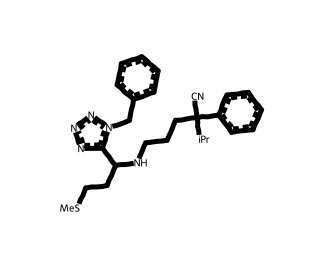 CSCCC(NCCCC(C#N)(c1ccccc1)C(C)C)c1nnnn1Cc1ccccc1